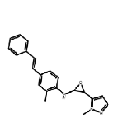 Cc1cc(/C=C/c2ccccc2)ccc1NC1OC1c1ccnn1C